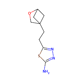 Nc1nnc(CCC23COC(C2)C3)s1